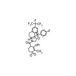 CCCC1=C(C)S(=O)(=O)CCC1C(=O)N1CC[C@@]2(S(=O)(=O)c3ccc(F)cc3)c3ccc(C(F)(C(F)(F)F)C(F)(F)F)cc3CC[C@@H]12